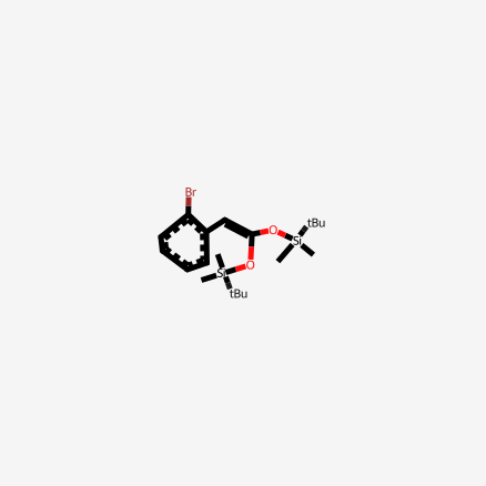 CC(C)(C)[Si](C)(C)OC(=Cc1ccccc1Br)O[Si](C)(C)C(C)(C)C